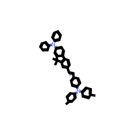 Cc1ccc(N(c2ccc(C)cc2)c2ccc(/C=C/c3ccc4c(c3)C(C)(C)c3cc(N(c5ccccc5)c5ccccc5)ccc3-4)cc2)cc1